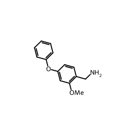 COc1cc(Oc2ccccc2)ccc1CN